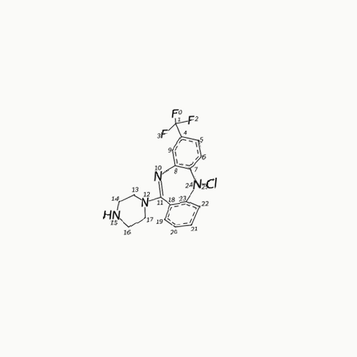 FC(F)(F)c1ccc2c(c1)N=C(N1CCNCC1)c1ccccc1N2Cl